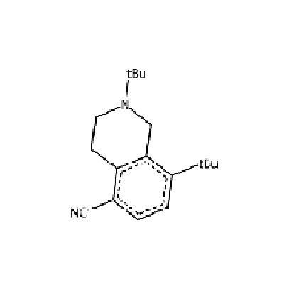 CC(C)(C)c1ccc(C#N)c2c1CN(C(C)(C)C)CC2